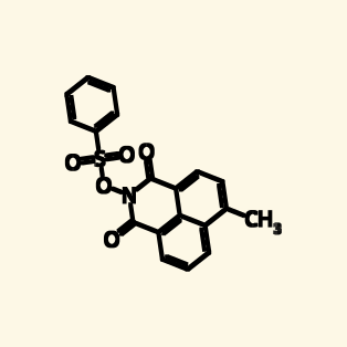 Cc1ccc2c3c(cccc13)C(=O)N(OS(=O)(=O)c1ccccc1)C2=O